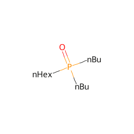 CCCCCCP(=O)(CCCC)CCCC